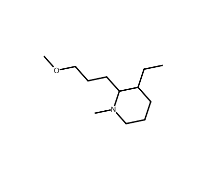 CCC1CCCN(C)C1CCCOC